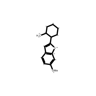 COc1ccc2cc(C3CCCCC3C)sc2c1